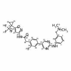 CN(C)Cc1cccc(Nc2ncc(-c3ccc(CC(=O)Nc4cc(C5(C(F)(F)F)CC5)on4)c(F)c3)cn2)c1